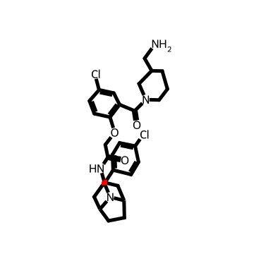 NCC1CCCN(C(=O)c2cc(Cl)ccc2OCC(=O)NC2CC3CCC(C2)N3Cc2ccc(Cl)cc2)C1